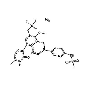 Br.COc1c(CC(F)(F)F)cc(-c2ccc(C)[nH]c2=O)c2ncc(-c3ccc(NS(C)(=O)=O)cc3)cc12